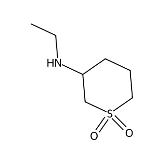 CCNC1CCCS(=O)(=O)C1